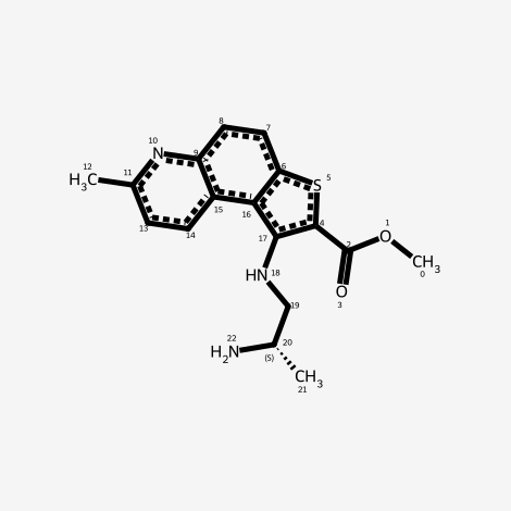 COC(=O)c1sc2ccc3nc(C)ccc3c2c1NC[C@H](C)N